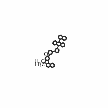 CC1(C)c2cc3oc4ccc(-c5cccc(-c6c7ccccc7c(-c7cccc8ccccc78)c7ccccc67)c5)cc4c3cc2-c2c1ccc1ccccc21